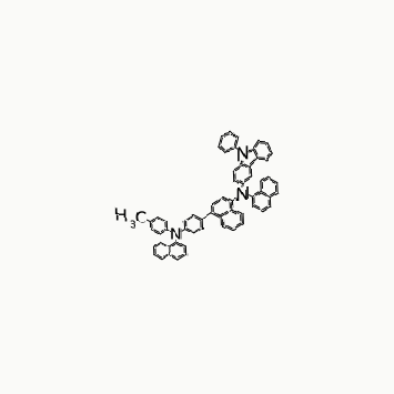 Cc1ccc(N(c2ccc(-c3ccc(N(c4ccc5c(c4)c4ccccc4n5-c4ccccc4)c4cccc5ccccc45)c4ccccc34)cc2)c2cccc3ccccc23)cc1